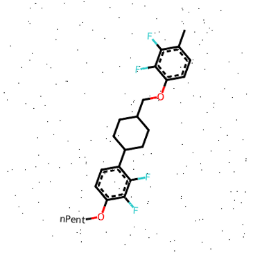 CCCCCOc1ccc(C2CCC(COc3ccc(C)c(F)c3F)CC2)c(F)c1F